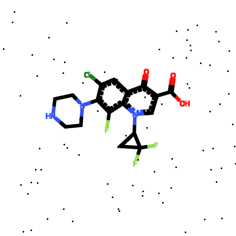 O=C(O)c1cn(C2CC2(F)F)c2c(F)c(N3CCNCC3)c(Cl)cc2c1=O